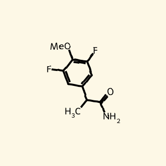 COc1c(F)cc(C(C)C(N)=O)cc1F